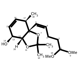 COC(CC/C=C\[C@@]12OC(C)(C)O[C@@H]1[C@@H](O)C=C[C@H]2C)OC